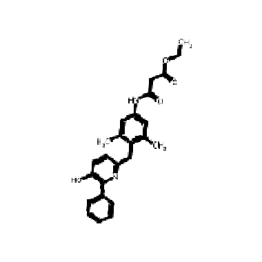 CCOC(=O)CC(=O)Nc1cc(C)c(Cc2ccc(O)c(-c3ccccc3)n2)c(C)c1